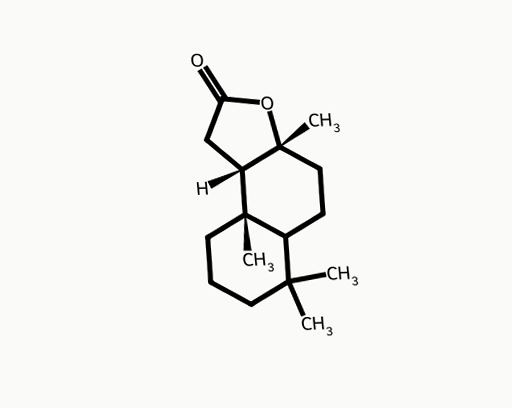 CC1(C)CCC[C@@]2(C)C1CC[C@@]1(C)OC(=O)C[C@H]12